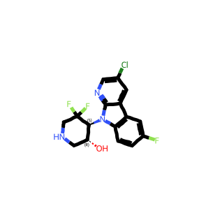 O[C@@H]1CNCC(F)(F)[C@H]1n1c2ccc(F)cc2c2cc(Cl)cnc21